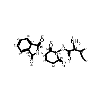 CCC(C)C(N)C(=O)ON1C(=O)CC[C@H](N2C(=O)c3ccccc3C2=O)C1=O